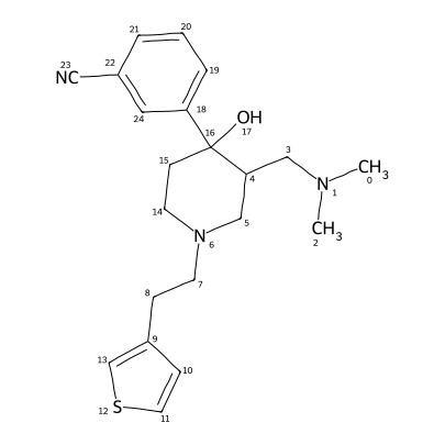 CN(C)CC1CN(CCc2ccsc2)CCC1(O)c1cccc(C#N)c1